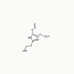 C=CCc1[nH]c(CCO)nc1CC(=O)O